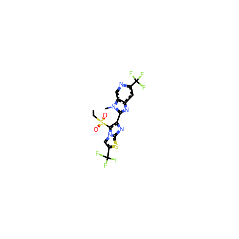 CCS(=O)(=O)c1c(-c2nc3cc(C(F)(F)F)ncc3n2C)nc2sc(C(F)(F)F)cn12